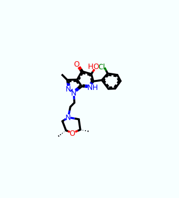 Cc1nn(CCN2C[C@@H](C)O[C@@H](C)C2)c2[nH]c(-c3ccccc3Cl)c(O)c(=O)c12